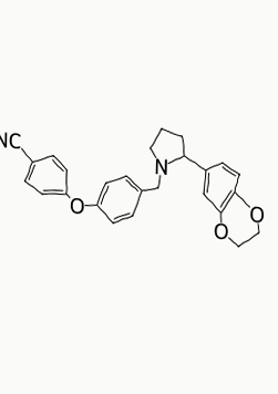 N#Cc1ccc(Oc2ccc(CN3CCCC3c3ccc4c(c3)OCCO4)cc2)cc1